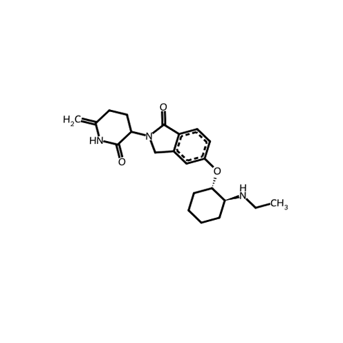 C=C1CCC(N2Cc3cc(O[C@H]4CCCC[C@@H]4NCC)ccc3C2=O)C(=O)N1